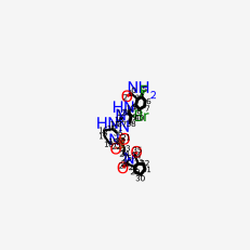 NC(=O)c1c(F)cccc1Nc1nc(N[C@@H]2CCCN(S(=O)(=O)CCN3C(=O)c4ccccc4C3=O)C2)ncc1Br